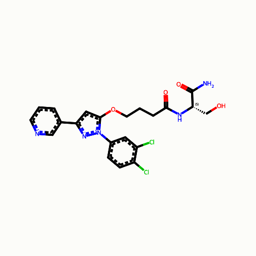 NC(=O)[C@H](CO)NC(=O)CCCOc1cc(-c2cccnc2)nn1-c1ccc(Cl)c(Cl)c1